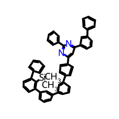 C[Si]1(C)c2ccccc2-c2cccc(-c3cccc(-c4cccc(-c5ccc(-c6cc(-c7cccc(-c8ccccc8)c7)nc(-c7ccccc7)n6)cc5)c4)c3)c21